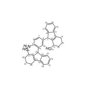 Nc1ccc(C2C3=C(CCCC3O)c3ccccc32)cc1C1C2=C(CCCC2O)c2ccccc21